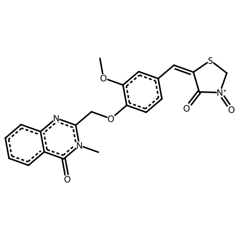 COc1cc(C=C2SC[N+](=O)C2=O)ccc1OCc1nc2ccccc2c(=O)n1C